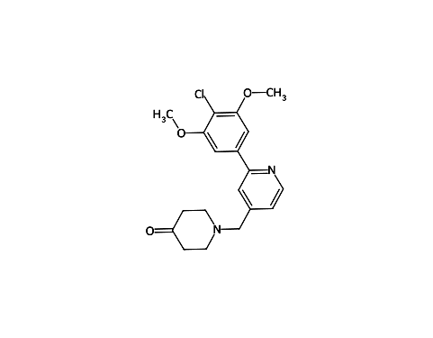 COc1cc(-c2cc(CN3CCC(=O)CC3)ccn2)cc(OC)c1Cl